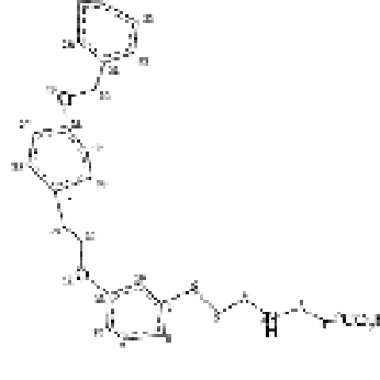 O=C(O)CCNCCCc1cccc(OCCc2ccc(OCc3ccccc3)cc2)c1